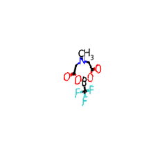 CN1CC(=O)OB(C(F)(F)F)OC(=O)C1